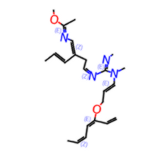 C=C/C(=C\C=C/C)OC/C=C/N(C)C(/N=C\C/C(C=CC)=C/N=C(\C)OC)=N\C